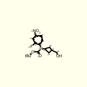 CC(C)(C)OC(=O)N(c1ccc([N+](=O)[O-])cc1F)C1CC(CO)C1